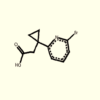 O=C(O)CC1(c2cccc(Br)n2)CC1